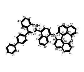 c1ccc(-c2ccc(C3=NC(c4ccc(-n5c6ccc7cccc8sc9cccc%10ccc5c(c%109)c6c78)c5ccccc45)Nc4ccccc43)cc2)cc1